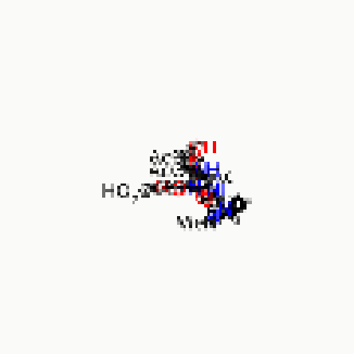 CNN(C)Cc1cc2ccccc2n1CCC(=O)N[C@@H](CC(=O)N[C@H]1O[C@@H](CO)[C@H](OC(C)=O)[C@@H](OC(C)=O)[C@@H]1NC(C)=O)C(=O)NCCOCCOCCC(=O)O